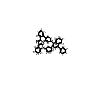 c1ccc(-c2ccc(-c3ccc4c5ccccc5c5nc6c7ccccc7n(-c7ccccc7)c6n5c4c3)c3ccccc23)cc1